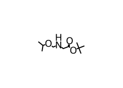 CC(C)OCNCC(=O)OC(C)(C)C